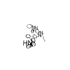 CCCCc1nc2ccc(C(=O)NC3CCCCC3)cc2n1Cc1ccc(-c2ccccc2C(=O)NS(C)(=O)=O)cc1